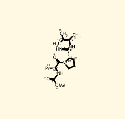 COC(=O)N[C@H](C(=O)N1CCC[C@H]1C(=N)NC(C)=C(C)C)C(C)C